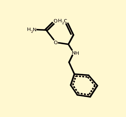 C=CC(NCc1ccccc1)OC(N)=O